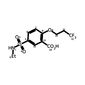 CCNS(=O)(=O)c1ccc(OCCC(F)(F)F)c(C(=O)O)c1